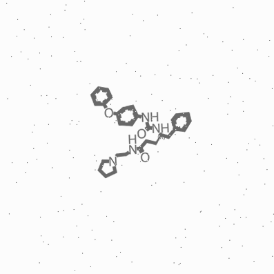 O=C(CC[C@H](Cc1ccccc1)NC(=O)Nc1ccc(Oc2ccccc2)cc1)NCCN1CCCC1